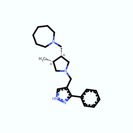 C[C@H]1CN(Cc2c[nH]nc2-c2ccccc2)C[C@H]1CN1CCCCCC1